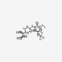 CCOC(=O)[C@H](Cc1ccc(C(=N)NO)cc1)NC(=O)OC(C)(C)C